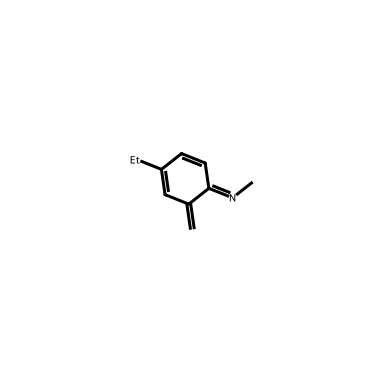 C=C1C=C(CC)C=C/C1=N\C